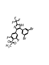 CS(=O)(=O)c1c(F)cc(-c2nc(C(F)(F)F)[nH]c2-c2cc(Br)cc(Br)c2)cc1F